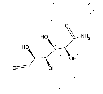 NC(=O)[C@@H](O)[C@H](O)[C@@H](O)[C@H](O)C=O